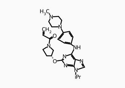 C=CC(=O)N1CC[C@@H](Oc2nc(Nc3ccc(N4CCN(C)CC4)cc3)c3ncn(C(C)C)c3n2)C1